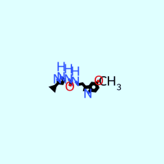 COc1ccc2c(c1)=C(CCNC(=O)Nc1cc(C3CC3)n[nH]1)CN=2